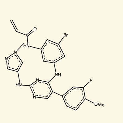 C=CC(=O)Nc1cc(Br)cc(Nc2nc(Nc3cnn(C)c3)ncc2-c2ccc(OC)c(F)c2)c1